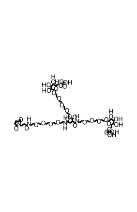 O=C(CCN1C(=O)C=CC1=O)NCCOCCOCCOCCOCCNC(=O)CC(C(=O)NCCOCCOCCOCCOC1OC(COP(=O)(O)O)C(O)C(O)C1O)C(=O)NCCOCCOCCOCCOC1OC(COP(=O)(O)O)C(O)C(O)C1O